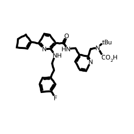 CC(C)(C)N(Cc1ncccc1CNC(=O)c1ccc(C2=CCCC2)nc1NCCc1cccc(F)c1)C(=O)O